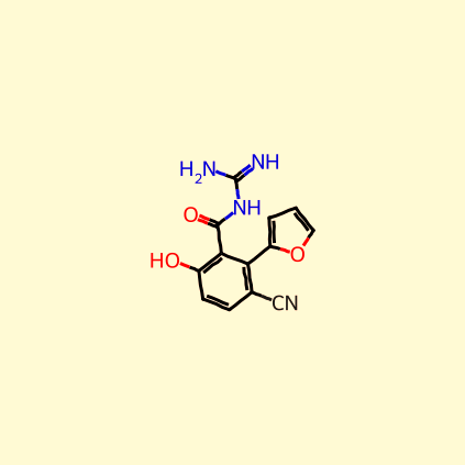 N#Cc1ccc(O)c(C(=O)NC(=N)N)c1-c1ccco1